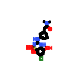 CN(C)C(=O)Cc1cccc(NC2=NS(O)(O)c3cc(Cl)cc(O)c3N2)c1